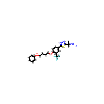 CC(C)(N)c1nnc(-c2ccc(OCCCCOc3ccccc3)c(C(F)(F)F)c2)s1